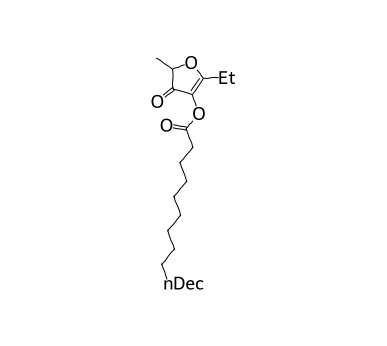 CCCCCCCCCCCCCCCCCCC(=O)OC1=C(CC)OC(C)C1=O